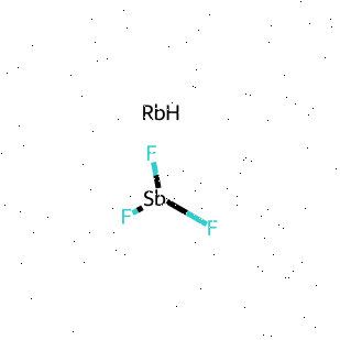 [F][Sb]([F])[F].[RbH]